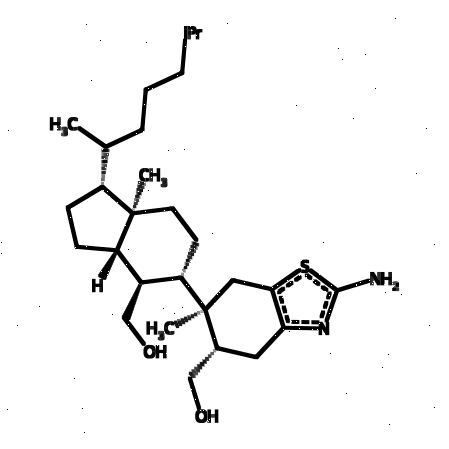 CC(C)CCCC(C)[C@H]1CC[C@H]2[C@H](CO)[C@@H]([C@@]3(C)Cc4sc(N)nc4C[C@@H]3CO)CC[C@]12C